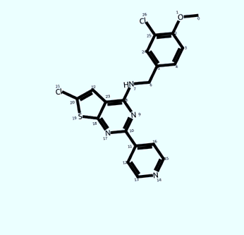 COc1ccc(CNc2nc(-c3ccncc3)nc3sc(Cl)cc23)cc1Cl